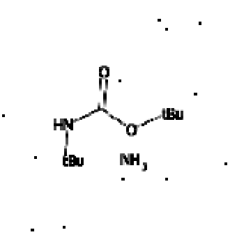 CC(C)(C)NC(=O)OC(C)(C)C.N